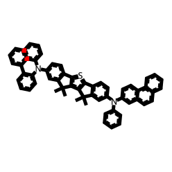 CC1(C)c2cc(N(c3ccccc3)c3ccc4c(ccc5ccccc54)c3)ccc2-c2sc3c(c21)C(C)(C)c1cc(N(c2ccccc2)c2ccccc2-c2ccccc2)ccc1-3